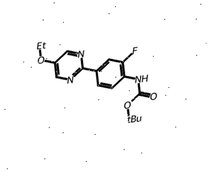 CCOc1cnc(-c2ccc(NC(=O)OC(C)(C)C)c(F)c2)nc1